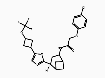 O=C(COc1ccc(Cl)cc1)NC1C[C@H](c2nnc(C3CC(OC(F)(F)F)C3)o2)C2CC1C2